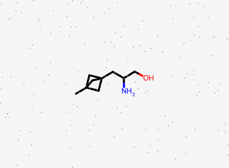 CC12CC(CC(N)CO)(C1)C2